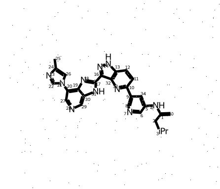 C=C(CC(C)C)Nc1cncc(-c2ccc3[nH]nc(-c4nc5c(-n6cnc(C)c6)cncc5[nH]4)c3n2)c1